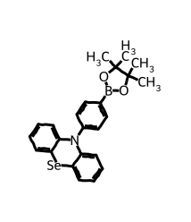 CC1(C)OB(c2ccc(N3c4ccccc4[Se]c4ccccc43)cc2)OC1(C)C